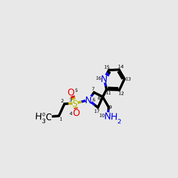 CCCS(=O)(=O)N1CC(CN)(c2ccccn2)C1